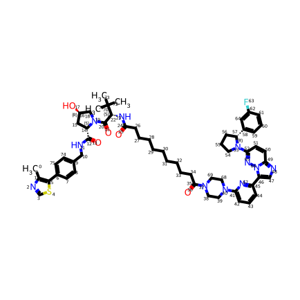 Cc1ncsc1-c1ccc(CNC(=O)[C@@H]2C[C@@H](O)CN2C(=O)[C@@H](NC(=O)CCCCCCCCCC(=O)N2CCN(c3cccc(-c4cnc5ccc(N6CCC[C@@H]6c6cccc(F)c6)nn45)n3)CC2)C(C)(C)C)cc1